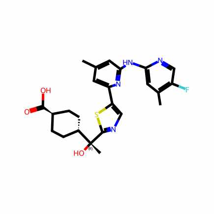 Cc1cc(Nc2cc(C)c(F)cn2)nc(-c2cnc([C@](C)(O)[C@H]3CC[C@H](C(=O)O)CC3)s2)c1